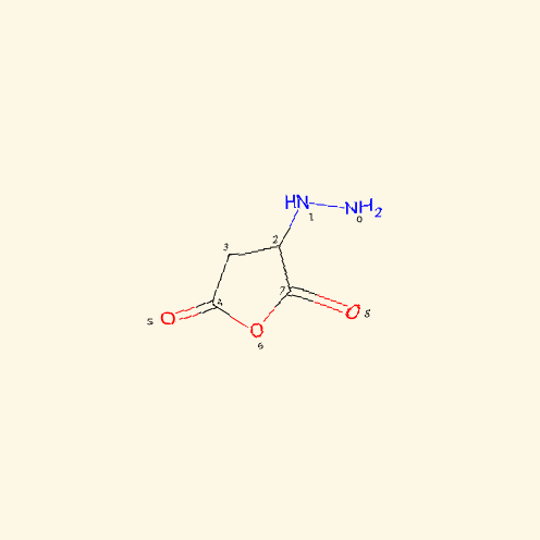 NNC1CC(=O)OC1=O